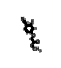 COC(=O)COc1ccc(C#N)c(F)c1